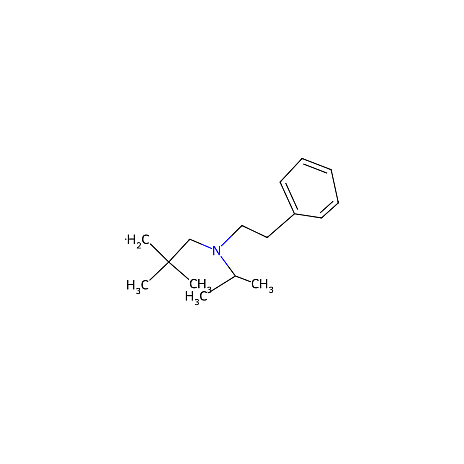 [CH2]C(C)(C)CN(CCc1ccccc1)C(C)C